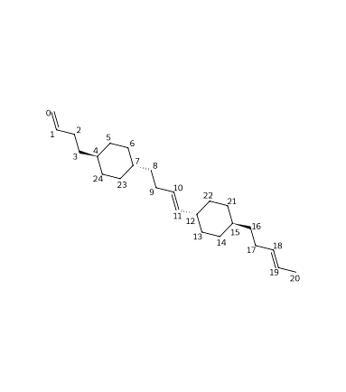 C=CCC[C@H]1CC[C@H](CC/C=C/[C@H]2CC[C@H](CC/C=C/C)CC2)CC1